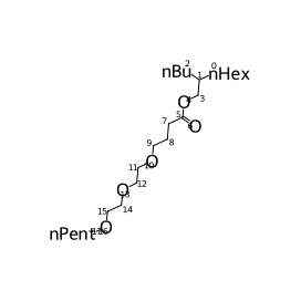 CCCCCCC(CCCC)COC(=O)CCCOCCOCCOCCCCC